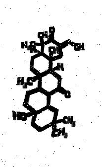 CC1(C)CC[C@]2(O)CCC3C(C(=O)C[C@@H]4[C@@]5(C)C/C(=C\O)C(=O)C(C)(C)[C@@H]5CC[C@@]34C)C2C1